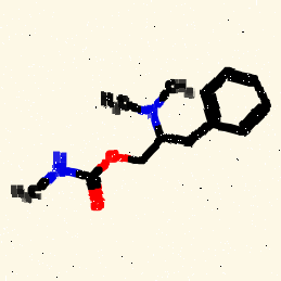 CNC(=O)OCC(Cc1ccccc1)N(C)C